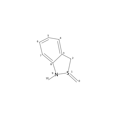 C=S1Cc2ccccc2N1C